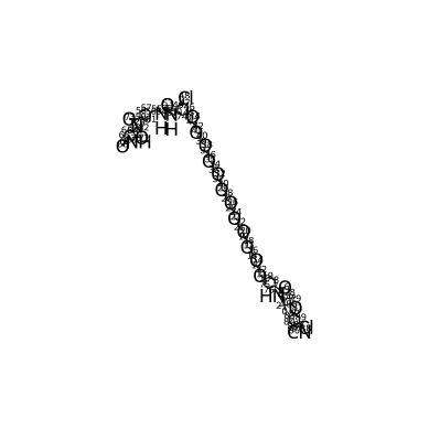 CC1(C)C(NC(=O)c2ccc(OCCOCCOCCOCCOCCOCCOCCOCCOCCOCCOCCOc3cc(Cl)cc(NC(=O)NCc4ccc5c(c4)CN(C4CCC(=O)NC4=O)C5=O)c3)cc2)C(C)(C)C1Oc1ccc(C#N)c(Cl)c1